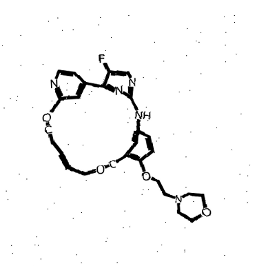 Fc1cnc2nc1-c1ccnc(c1)OCC/C=C/COCc1cc(ccc1OCCN1CCOCC1)N2